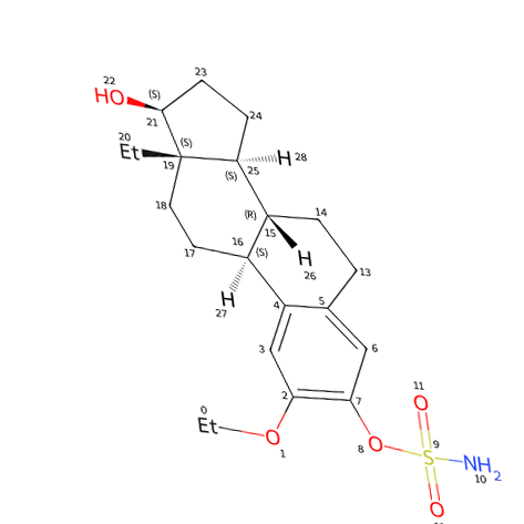 CCOc1cc2c(cc1OS(N)(=O)=O)CC[C@@H]1[C@@H]2CC[C@]2(CC)[C@@H](O)CC[C@@H]12